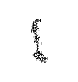 O=C(CN1CCN(CCNC(=O)c2cc3cc(O)ccc3oc2=O)CC1)NCCCCCNc1cccc2c1C(=O)N(C1CCC(=O)NC1=O)C2=O